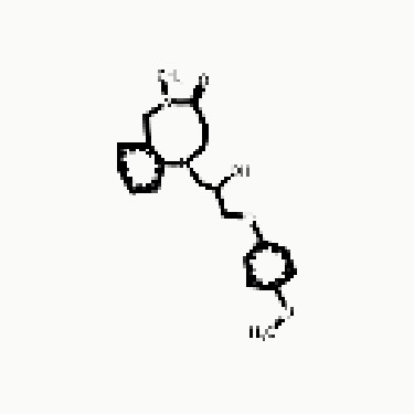 COc1ccc(OCC(O)CN2CCC(=O)N(C)Cc3ccccc32)cc1